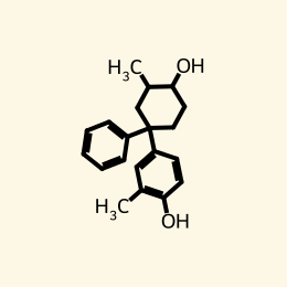 Cc1cc(C2(c3ccccc3)CCC(O)C(C)C2)ccc1O